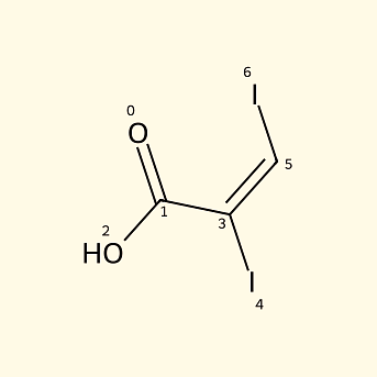 O=C(O)/C(I)=C\I